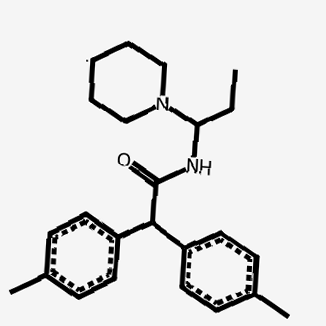 CCC(NC(=O)C(c1ccc(C)cc1)c1ccc(C)cc1)N1CC[CH]CC1